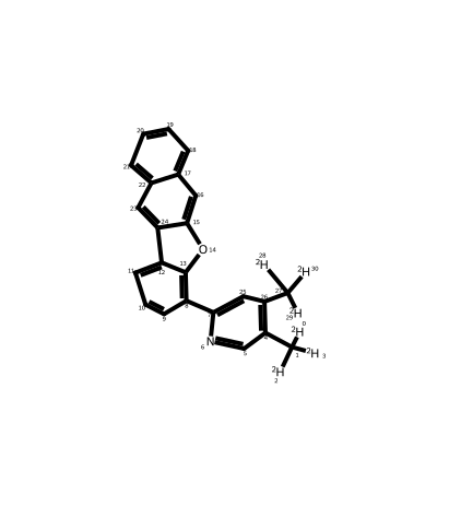 [2H]C([2H])([2H])c1cnc(-c2cccc3c2oc2cc4ccccc4cc23)cc1C([2H])([2H])[2H]